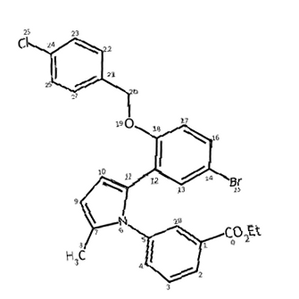 CCOC(=O)c1cccc(-n2c(C)ccc2-c2cc(Br)ccc2OCc2ccc(Cl)cc2)c1